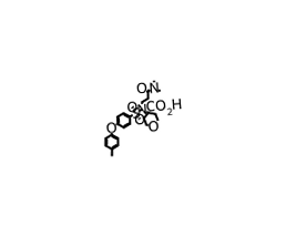 Cc1ccc(Oc2ccc(S(=O)(=O)N(CCC(=O)N(C)C)C3(C(=O)O)CCOCC3)cc2)cc1